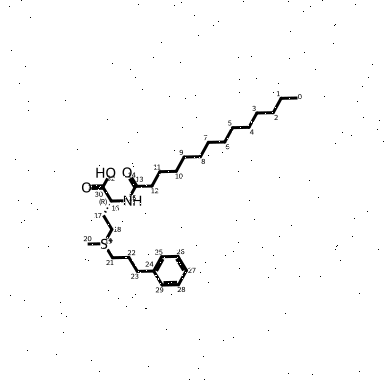 CCCCCCCCCCCCCC(=O)N[C@H](CC[S+](C)CCCc1ccccc1)C(=O)O